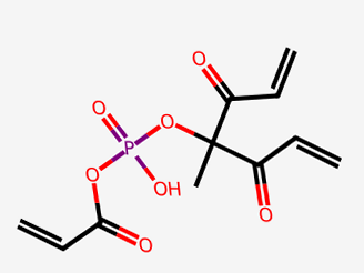 C=CC(=O)OP(=O)(O)OC(C)(C(=O)C=C)C(=O)C=C